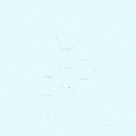 NCOC(=O)c1ccccc1-c1cc(F)c(N)c([N+](=O)[O-])c1